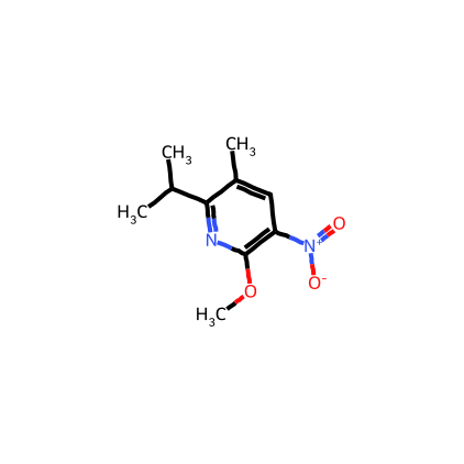 COc1nc(C(C)C)c(C)cc1[N+](=O)[O-]